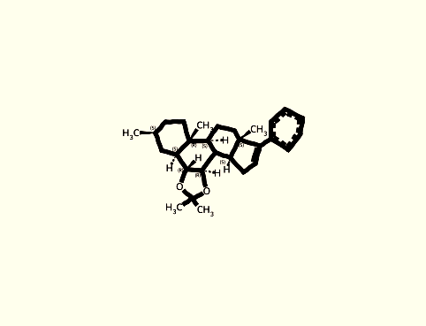 C[C@H]1CC[C@@]2(C)[C@H](C1)[C@H]1OC(C)(C)O[C@@H]1C1[C@@H]2CC[C@]2(C)C(c3ccccc3)=CC[C@@H]12